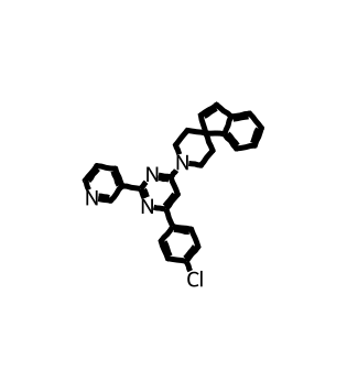 Clc1ccc(-c2cc(N3CCC4(C=Cc5ccccc54)CC3)nc(-c3cccnc3)n2)cc1